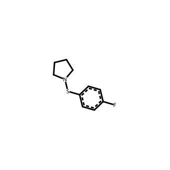 Fc1ccc(SN2CCCC2)cc1